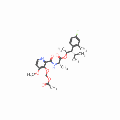 COc1ccnc(C(=O)N[C@@H](C)C(=O)O[C@@H](C)[C@H](c2ccc(F)cc2C)C(C)C)c1OCOC(C)=O